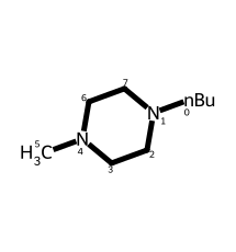 [CH2]CCCN1CCN(C)CC1